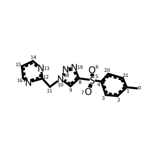 Cc1ccc(S(=O)(=O)c2cn(Cc3ncccn3)nn2)cc1